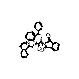 O=C1[C@H](N2C(=O)c3ccccc3C2=O)N=C(c2ccccc2)c2ccccc2N1Cc1nccc2ccccc12